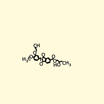 C#CCOc1cc(N2C(=O)c3ccc(C(=O)OCC(O)CC)cc3C2=O)ccc1OC